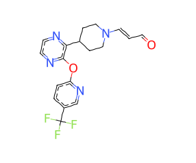 O=CC=CN1CCC(c2nccnc2Oc2ccc(C(F)(F)F)cn2)CC1